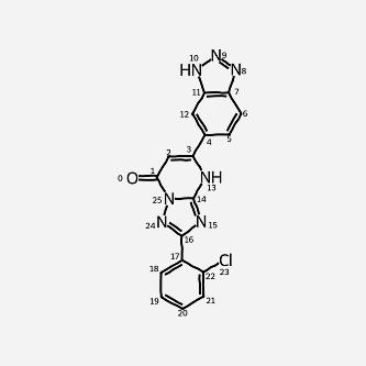 O=c1cc(-c2ccc3nn[nH]c3c2)[nH]c2nc(-c3ccccc3Cl)nn12